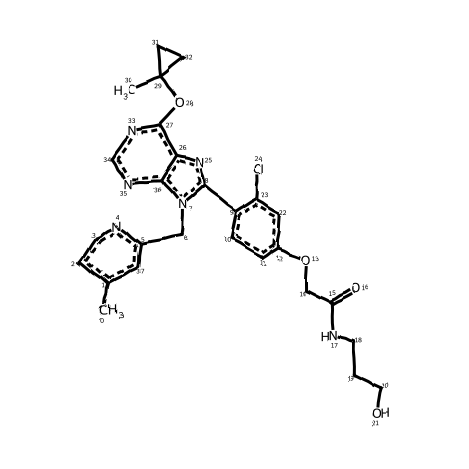 Cc1ccnc(Cn2c(-c3ccc(OCC(=O)NCCCO)cc3Cl)nc3c(OC4(C)CC4)ncnc32)c1